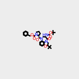 CC(C)(C)OC(=O)NC1CN(C(=O)[C@@H]2CCCN2C(=O)OCc2ccccc2)c2ccccc2N(CC(=O)C(C)(C)C)C1=O